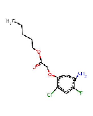 CCCCCOC(=O)COc1cc(N)c(F)cc1Cl